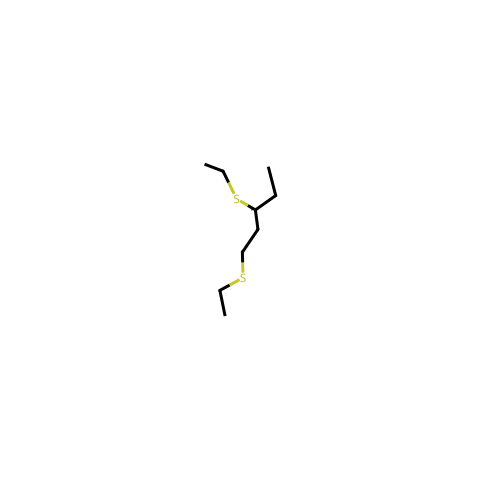 CCSCC[C](CC)SCC